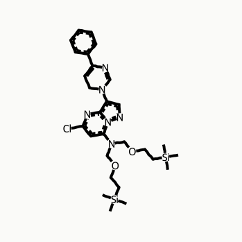 C[Si](C)(C)CCOCN(COCC[Si](C)(C)C)c1cc(Cl)nc2c(N3C=NC(c4ccccc4)=CC3)cnn12